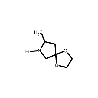 CCN1CC2(CC1C)OCCO2